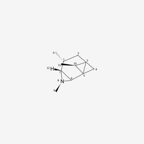 C[C@@H]1CC23CC2(C2[C@@H]1[N@]2C)[C@H]3C